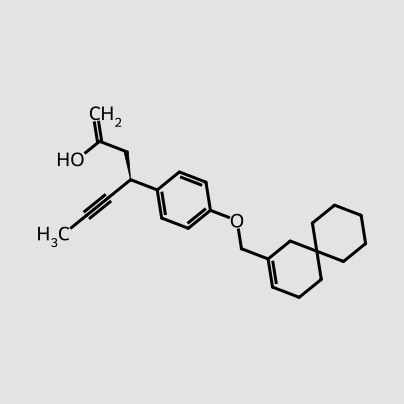 C=C(O)C[C@H](C#CC)c1ccc(OCC2=CCCC3(CCCCC3)C2)cc1